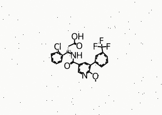 COc1ncc(C(=O)N[C@@H](CC(=O)O)c2ccccc2Cl)cc1-c1cccc(C(F)(F)F)c1